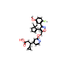 COc1ccc(F)c(-c2noc(COc3cc(C(CC(=O)O)C4CC4)ccn3)c2C2=CCCC2(C)C)c1